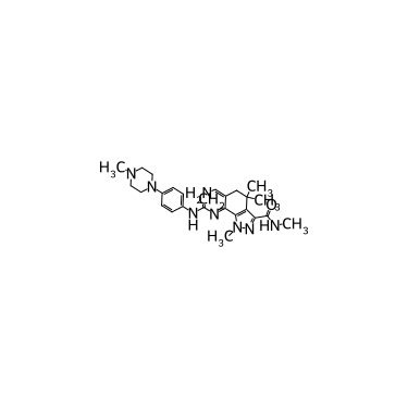 C=C(/N=C1\C(=C/N)CC(C)(C)c2c(C(=O)NC)nn(C)c21)Nc1ccc(N2CCN(C)CC2)cc1